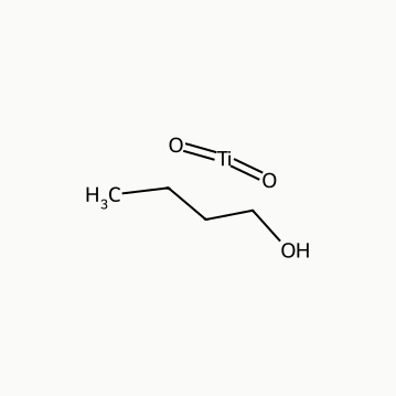 CCCCO.[O]=[Ti]=[O]